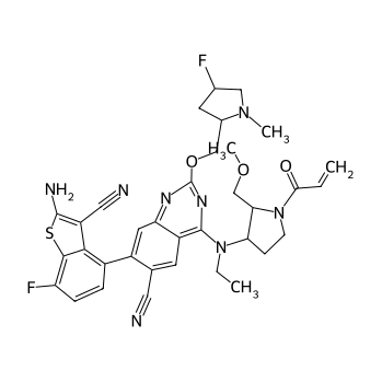 C=CC(=O)N1CCC(N(CC)c2nc(OCC3CC(F)CN3C)nc3cc(-c4ccc(F)c5sc(N)c(C#N)c45)c(C#N)cc23)C1COC